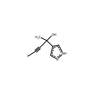 CC(O)(C#CI)c1cn[nH]c1